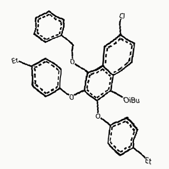 CCc1ccc(Oc2c(Oc3ccc(CC)cc3)c(OCC(C)C)c3ccc(Cl)cc3c2OCc2ccccc2)cc1